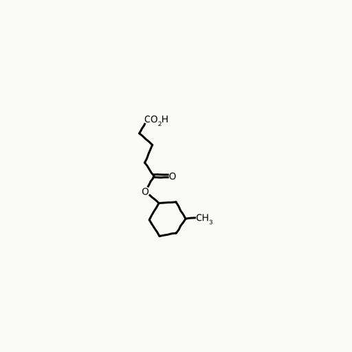 CC1CCCC(OC(=O)CCCC(=O)O)C1